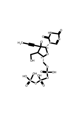 CC#CC1(Cl)C(CO)[C@@H](COP(=O)(O)OP(=O)(O)OP(=O)(O)O)O[C@H]1n1cnc(=O)[nH]c1=O